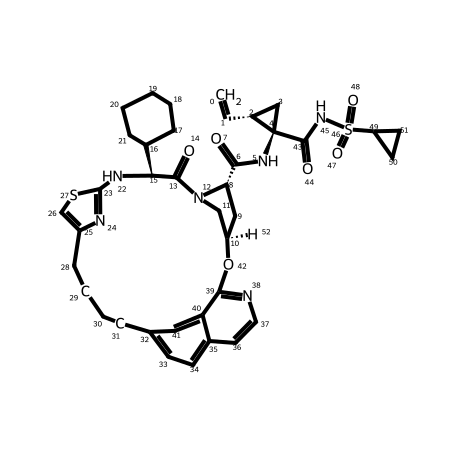 C=C[C@@H]1C[C@]1(NC(=O)[C@@H]1C[C@@H]2CN1C(=O)[C@H](C1CCCCC1)Nc1nc(cs1)CCCCc1ccc3ccnc(c3c1)O2)C(=O)NS(=O)(=O)C1CC1